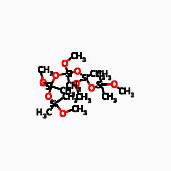 CO[Si](C)(C)O[Si](C)(OC)O[Si](C)(OC)O[Si](C)(OC)O[Si](C)(C)OC